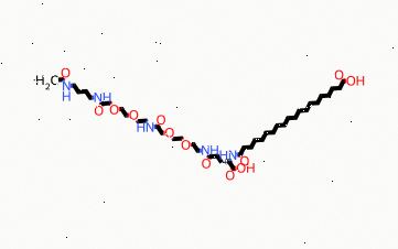 [CH2]C(=O)NCCCCNC(=O)COCCOCCNC(=O)COCCOCCNC(=O)CC[C@H](NC(=O)CCCCCCCCCCCCCCCCCCC(=O)O)C(=O)O